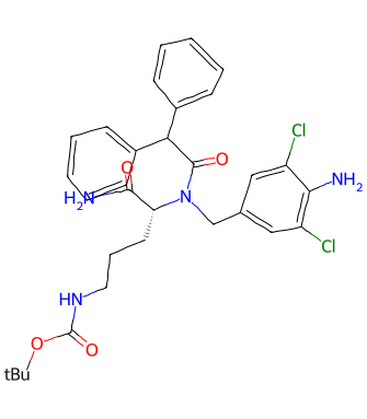 CC(C)(C)OC(=O)NCCC[C@H](C(N)=O)N(Cc1cc(Cl)c(N)c(Cl)c1)C(=O)C(c1ccccc1)c1ccccc1